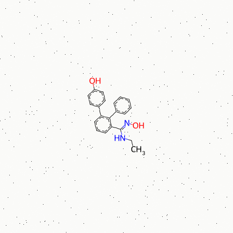 CCNC(=NO)c1cccc(-c2ccc(O)cc2)c1-c1ccccc1